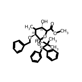 COC(=O)C1O[C@@H](O[Si](c2ccccc2)(c2ccccc2)C(C)(C)C)[C@@H](OCc2ccccc2)C(C)[C@@H]1O